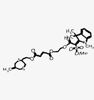 C=C1CSCC(COC(=O)CCC(=O)OCCOC(=O)/C(=C2/N(C)c3ccccc3C2(C)C)S(=O)(=O)OC)SC1